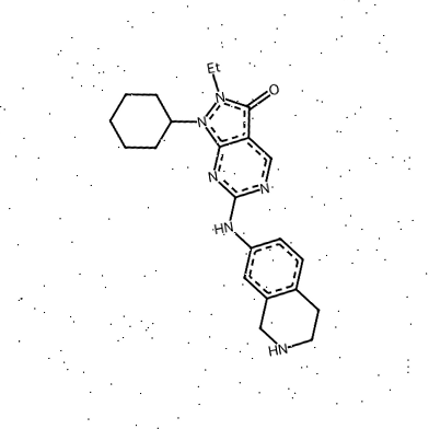 CCn1c(=O)c2cnc(Nc3ccc4c(c3)CNCC4)nc2n1C1CCCCC1